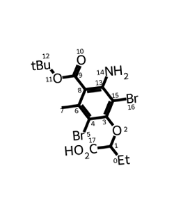 CCC(Oc1c(Br)c(C)c(C(=O)OC(C)(C)C)c(N)c1Br)C(=O)O